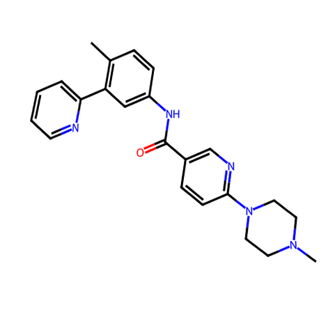 Cc1ccc(NC(=O)c2ccc(N3CCN(C)CC3)nc2)cc1-c1ccccn1